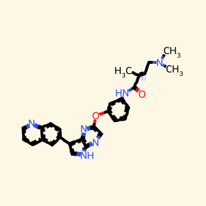 C/C(=C\CN(C)C)C(=O)Nc1cccc(Oc2cnc3[nH]cc(-c4ccc5ncccc5c4)c3n2)c1